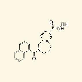 O=C(NO)c1ccc2c(c1)CCCN(C(=O)c1cccc3ccccc13)C2